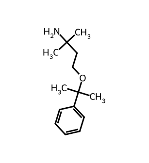 CC(C)(N)CCOC(C)(C)c1ccccc1